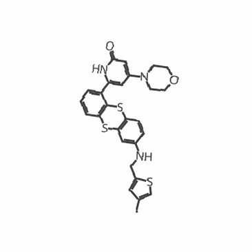 Cc1csc(CNc2ccc3c(c2)Sc2cccc(-c4cc(N5CCOCC5)cc(=O)[nH]4)c2S3)c1